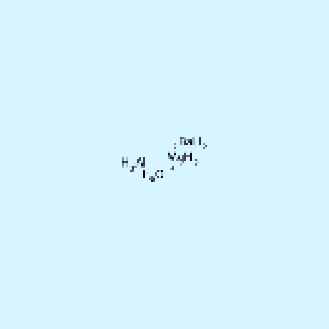 O.[AlH3].[BaH2].[MgH2]